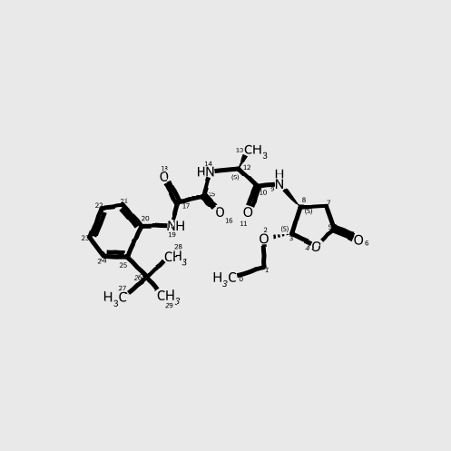 CCO[C@H]1OC(=O)C[C@@H]1NC(=O)[C@H](C)NC(=O)C(=O)Nc1ccccc1C(C)(C)C